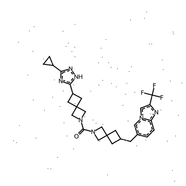 O=C(N1CC2(CC(Cc3ccc4nc(C(F)(F)F)cn4c3)C2)C1)N1CC2(CC(c3nc(C4CC4)n[nH]3)C2)C1